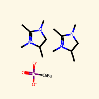 CC(C)COP(=O)([O-])[O-].CC1=[N+](C)C(C)CN1C.CC1=[N+](C)C(C)CN1C